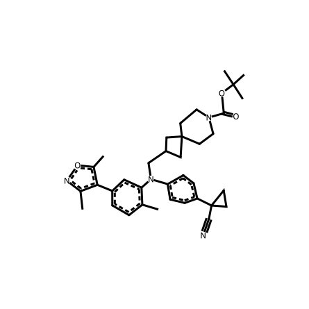 Cc1ccc(-c2c(C)noc2C)cc1N(CC1CC2(CCN(C(=O)OC(C)(C)C)CC2)C1)c1ccc(C2(C#N)CC2)cc1